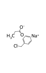 CCC(=O)[O-].ClCc1ccccc1.[Na+]